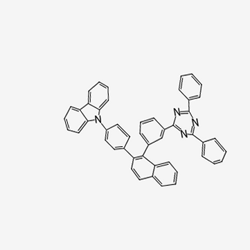 c1ccc(-c2nc(-c3ccccc3)nc(-c3cccc(-c4c(-c5ccc(-n6c7ccccc7c7ccccc76)cc5)ccc5ccccc45)c3)n2)cc1